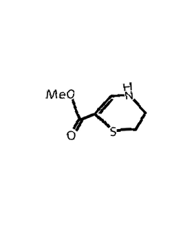 COC(=O)C1=CNCCS1